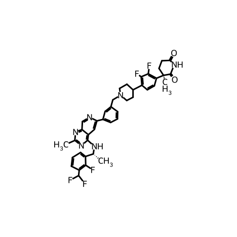 Cc1nc(N[C@H](C)c2cccc(C(F)F)c2F)c2cc(-c3cccc(CN4CCC(c5ccc([C@@]6(C)CCC(=O)NC6=O)c(F)c5F)CC4)c3)ncc2n1